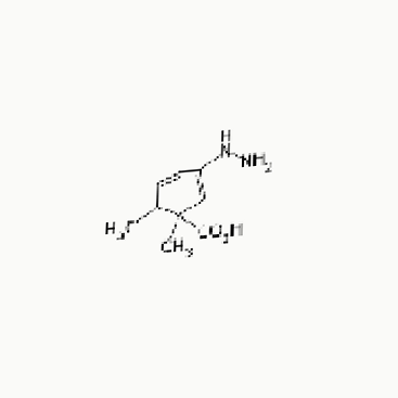 CC1C=CC(NN)=CC1(C)C(=O)O